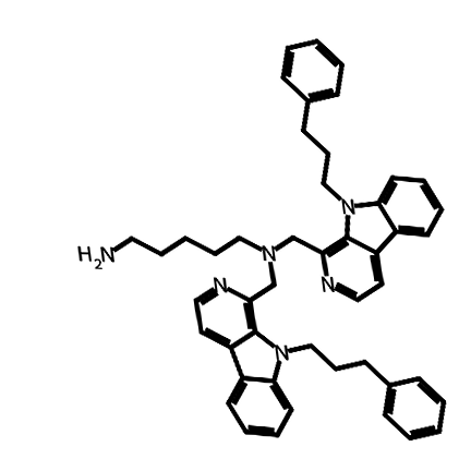 NCCCCCN(Cc1nccc2c3ccccc3n(CCCc3ccccc3)c12)Cc1nccc2c3ccccc3n(CCCc3ccccc3)c12